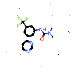 CN(C)C(=O)Nc1cccc(C(F)(F)F)c1.c1cncnc1